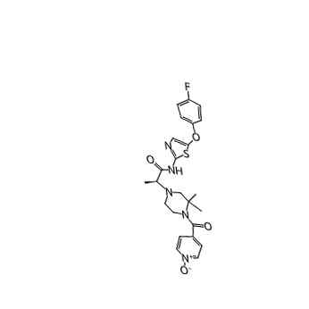 C[C@@H](C(=O)Nc1ncc(Oc2ccc(F)cc2)s1)N1CCN(C(=O)c2cc[n+]([O-])cc2)C(C)(C)C1